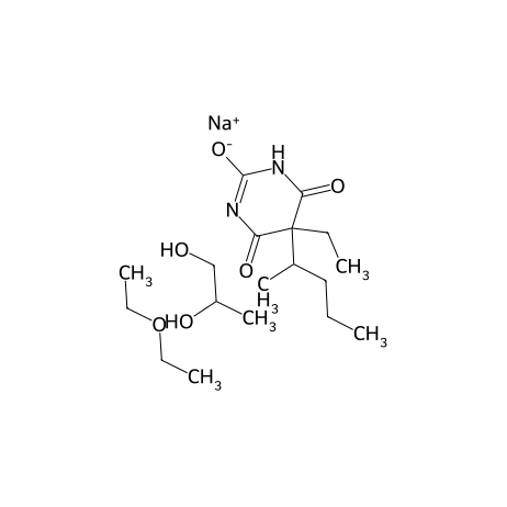 CC(O)CO.CCCC(C)C1(CC)C(=O)N=C([O-])NC1=O.CCOCC.[Na+]